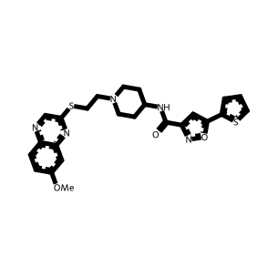 COc1ccc2ncc(SCCN3CCC(NC(=O)c4cc(-c5cccs5)on4)CC3)nc2c1